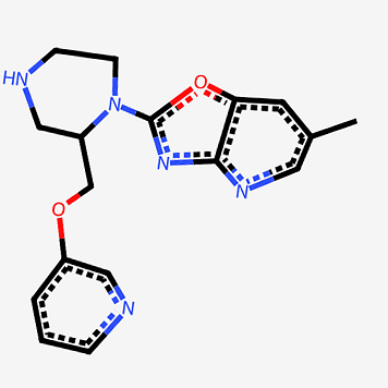 Cc1cnc2nc(N3CCNCC3COc3cccnc3)oc2c1